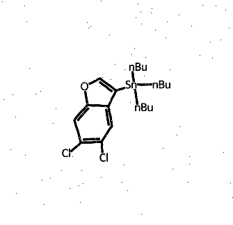 CCC[CH2][Sn]([CH2]CCC)([CH2]CCC)[c]1coc2cc(Cl)c(Cl)cc12